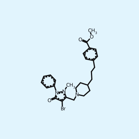 COC(=O)c1ccc(CCCC2CCN(Cc3c(Br)c(=O)n(-c4ccccc4)n3C)CC2)cc1